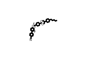 CCCCCC1CCC(C2COC(C3CCC(C(F)(F)Oc4ccc(-c5ccc(C#N)cc5)c(F)c4)CC3)OC2)CC1